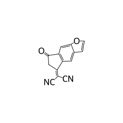 N#CC(C#N)=C1CC(=O)c2cc3occc3cc21